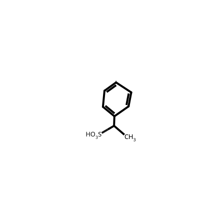 CC(c1cc[c]cc1)S(=O)(=O)O